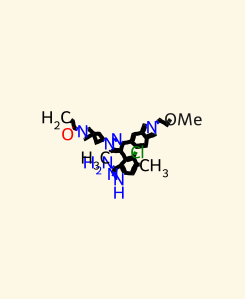 C=CC(=O)N1CC2(CC(n3nc(-c4ccc5cn(CCOC)cc5c4)c(-c4c(Cl)c(C)cc5[nH]nc(N)c45)c3C)C2)C1